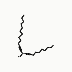 [CH2]C(C#CCCCCCCCC)C#CCCCCCCCCCC